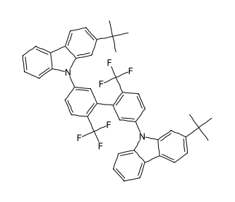 CC(C)(C)c1ccc2c3ccccc3n(-c3ccc(C(F)(F)F)c(-c4cc(-n5c6ccccc6c6ccc(C(C)(C)C)cc65)ccc4C(F)(F)F)c3)c2c1